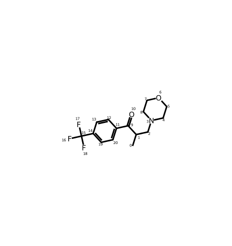 CC(CN1CCOCC1)C(=O)c1ccc(C(F)(F)F)cc1